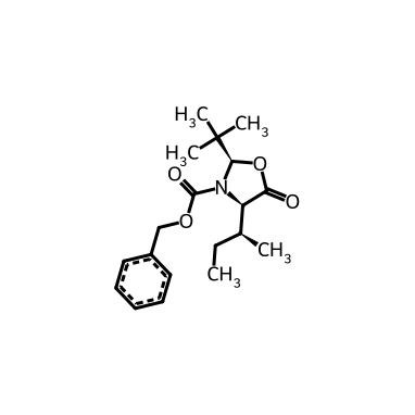 CC[C@H](C)[C@@H]1C(=O)O[C@H](C(C)(C)C)N1C(=O)OCc1ccccc1